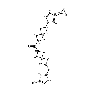 CCc1nsc(CN2CC3(C2)CN(C(=O)N2CC4(CC(n5cnc(C6CC6)n5)C4)C2)C3)n1